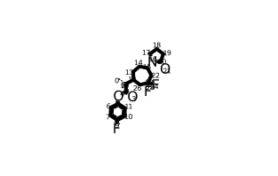 C[C@@H](C(=O)Oc1ccc(F)cc1)C1CCC(N2CCCC2=O)CC(F)(F)C1